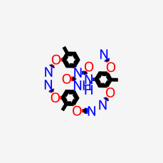 Cc1ccc(N(C(=O)Nc2cc(OC#N)c(C)c(OC#N)c2)C(=O)Nc2cc(OC#N)c(C)c(OC#N)c2)cc1OC#N